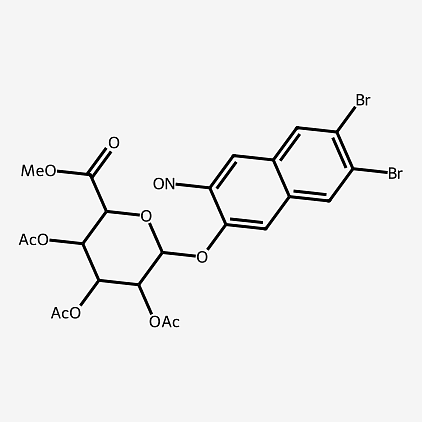 COC(=O)C1OC(Oc2cc3cc(Br)c(Br)cc3cc2N=O)C(OC(C)=O)C(OC(C)=O)C1OC(C)=O